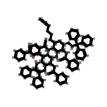 [N-]=[N+]=NCCO[C@H]1O[C@H](COC(c2ccccc2)(c2ccccc2)c2ccccc2)[C@@H](OC(=O)c2ccccc2)[C@H](O[C@H]2O[C@H](COC(=O)c3ccccc3)[C@@H](OC(=O)c3ccccc3)[C@H](OC(=O)c3ccccc3)[C@@H]2OC(=O)c2ccccc2)[C@@H]1OC(=O)c1ccccc1